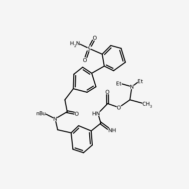 CCCCN(Cc1cccc(C(=N)NC(=O)OC(C)N(CC)CC)c1)C(=O)Cc1ccc(-c2ccccc2S(N)(=O)=O)cc1